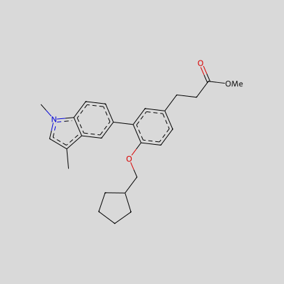 COC(=O)CCc1ccc(OCC2CCCC2)c(-c2ccc3c(c2)c(C)cn3C)c1